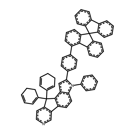 C1=CCCC(C2(C3=CCCC=C3)c3ccncc3-c3ccc4c(cc(-c5ccc(-c6cccc7c6-c6ccccc6C76c7ccccc7-c7ccccc76)cc5)n4-c4ccccc4)c32)=C1